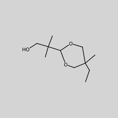 CCC1(C)COC(C(C)(C)CO)OC1